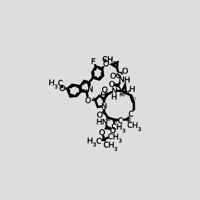 COc1ccc2c(O[C@@H]3C[C@H]4C(=O)N[C@]5(C(=O)NS(=O)(=O)C6CC6)C[C@H]5/C=C\CC[C@H](C)C[C@@H](C)[C@H](NC(=O)OC(C)(C)C)C(=O)N4C3)nc(-c3ccc(OC)c(F)c3)cc2c1